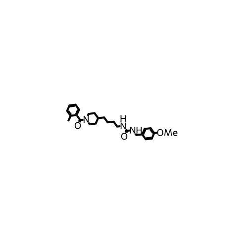 COc1ccc(CNC(=O)NCCCCC2CCN(C(=O)c3ccccc3C)CC2)cc1